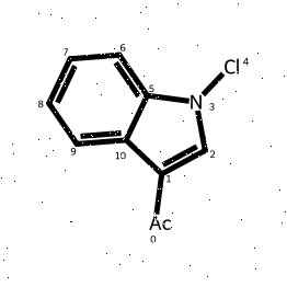 CC(=O)c1cn(Cl)c2ccccc12